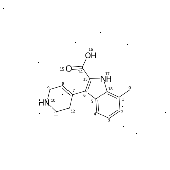 Cc1cccc2c(C3=CCNCC3)c(C(=O)O)[nH]c12